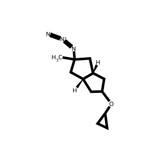 CC1(N=[N+]=[N-])C[C@H]2CC(OC3CC3)C[C@H]2C1